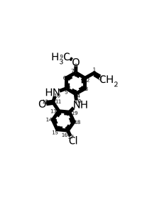 C=Cc1cc2c(cc1OC)NC(=O)c1ccc(Cl)cc1N2